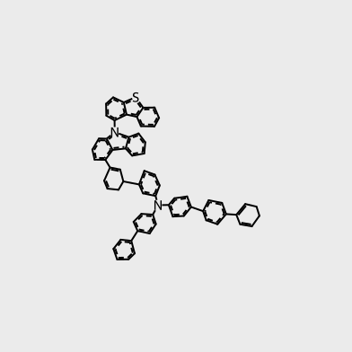 C1=CC(c2ccc(-c3ccc(N(c4ccc(-c5ccccc5)cc4)c4cccc(C5C=C(c6cccc7c6c6ccccc6n7-c6cccc7sc8ccccc8c67)C=CC5)c4)cc3)cc2)=CCC1